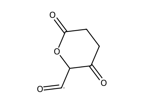 O=[C]C1OC(=O)CCC1=O